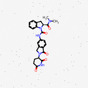 CN(C)C(=O)[C@@H]1Cc2ccccc2N1C(=O)Nc1ccc2c(c1)CN(C1CCC(=O)NC1=O)C2=O